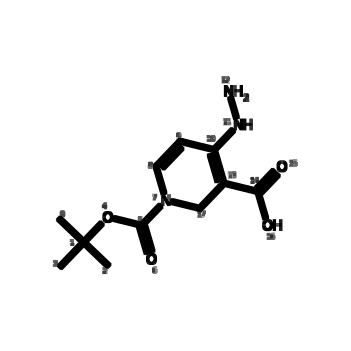 CC(C)(C)OC(=O)N1C=CC(NN)=C(C(=O)O)C1